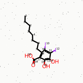 CCCCCCCCc1c(I)c(I)c(O)c(O)c1C(=O)O